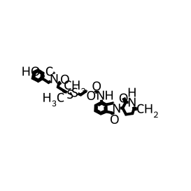 C=C1CCC(N2Cc3c(NC(=O)OCCSSC(C)(C)CC(=O)N(CC(=O)O)Cc4ccccc4)cccc3C2=O)C(=O)N1